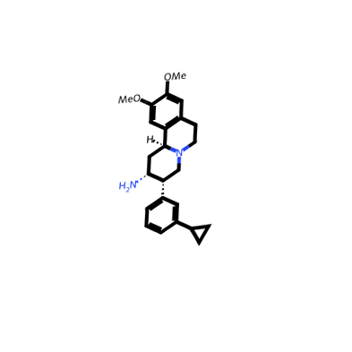 COc1cc2c(cc1OC)[C@@H]1C[C@@H](N)[C@@H](c3cccc(C4CC4)c3)CN1CC2